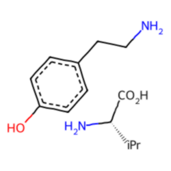 CC(C)[C@H](N)C(=O)O.NCCc1ccc(O)cc1